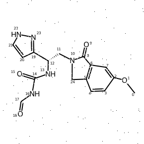 COc1ccc2c(c1)C(=O)N(C[C@H](NC(=O)NC=O)c1cc[nH]n1)C2